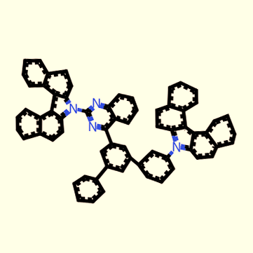 c1ccc(-c2cc(-c3cccc(-n4c5ccc6ccccc6c5c5c6ccccc6ccc54)c3)cc(-c3nc(-n4c5ccc6ccccc6c5c5c6ccccc6ccc54)nc4ccccc34)c2)cc1